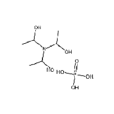 CC(O)N(C(C)O)C(C)O.O=P(O)(O)O